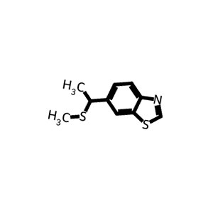 CSC(C)c1ccc2ncsc2c1